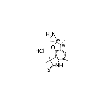 Cc1cc2c(c3c1NC(=S)C3(C)C)O[C@@](C)(CN)[C@@H]2C.Cl